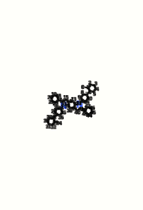 Cc1ccccc1-c1ccc(N2c3cc4cc(-c5ccccc5)n(-c5ccc(-c6ccccc6C)cc5)c4cc3CC2c2ccccc2)cc1